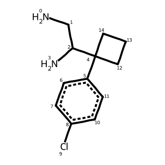 NCC(N)C1(c2ccc(Cl)cc2)CCC1